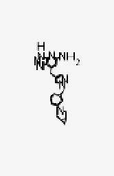 Nc1cc(Cc2cnn(Cc3cccc(N4CC5CC5C4)c3)c2)c2nn[nH]c2n1